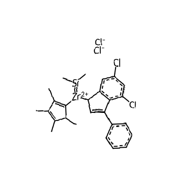 CC1=C(C)C(C)[C]([Zr+2]([CH]2C=C(c3ccccc3)c3c(Cl)cc(Cl)cc32)=[Si](C)C)=C1C.[Cl-].[Cl-]